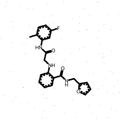 Cc1ccc(F)cc1NC(=O)CNc1ccccc1C(=O)NCc1ccco1